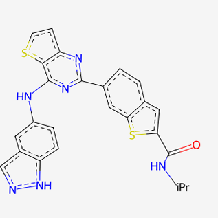 CC(C)NC(=O)c1cc2ccc(-c3nc(Nc4ccc5[nH]ncc5c4)c4sccc4n3)cc2s1